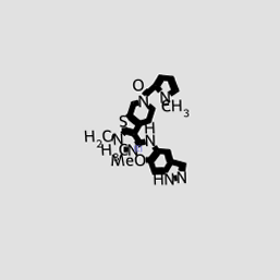 C=Nc1sc2c(c1/C(=N\C)Nc1cc3cn[nH]c3cc1OC)CCN(C(=O)c1cccn1C)C2